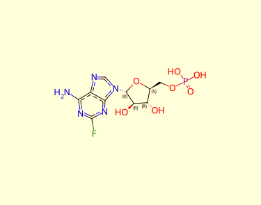 Nc1nc(F)nc2c1ncn2[C@@H]1O[C@@H](COP(=O)(O)O)[C@H](O)[C@H]1O